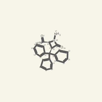 NC(=O)[C@@H]1[C@H](C(c2ccccc2)(c2ccccc2)c2ccccc2)C(=O)N1N